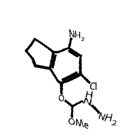 COC(NN)Oc1c(Cl)cc(N)c2c1CCC2